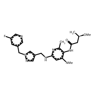 CNc1cc(NCc2cnn(Cc3cncc(F)c3)c2)nc(C)c1NC(=O)C[C@@H](C)OC